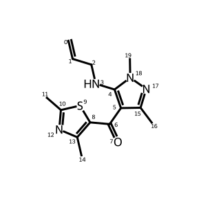 C=CCNc1c(C(=O)c2sc(C)nc2C)c(C)nn1C